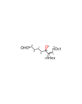 CCCCCCCCC=C(CCCCCC)C(=O)CCCCC=O